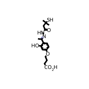 C/C(=N\NC(=O)CC(C)(C)S)c1ccc(OCCCC(=O)O)cc1O